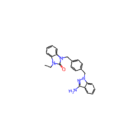 CCn1c(=O)n(Cc2ccc(Cn3nc(N)c4ccccc43)cc2)c2ccccc21